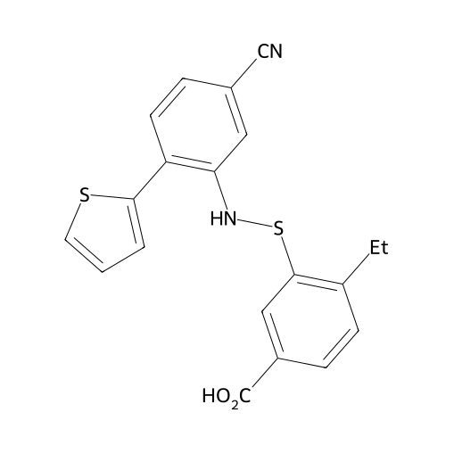 CCc1ccc(C(=O)O)cc1SNc1cc(C#N)ccc1-c1cccs1